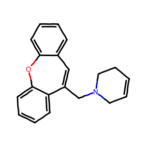 C1=CCN(CC2=Cc3ccccc3Oc3ccccc32)CC1